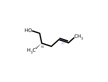 C/C=C/C[C@H](C)CO